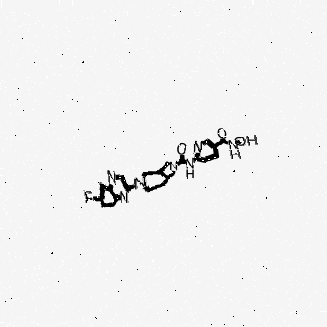 O=C(NO)c1ccc(NC(=O)N2CC3CCN(c4cnc5cc(F)ccc5n4)CC3C2)nc1